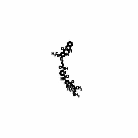 COc1cc2c(cc1OCCCC(=O)Nc1cccc(C(=O)Nc3cc(C(=O)NCC(C)(C)SSC)n(C)c3)n1)N=C[C@@H]1Cc3ccccc3CN1C2=O